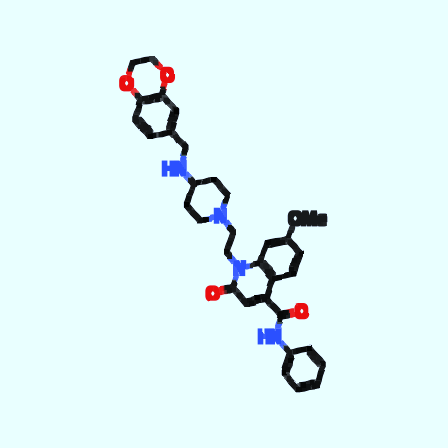 COc1ccc2c(C(=O)Nc3ccccc3)cc(=O)n(CCN3CCC(NCc4ccc5c(c4)OCCO5)CC3)c2c1